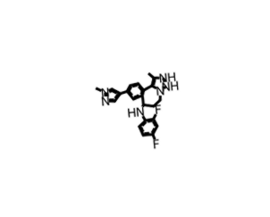 CC1=C2c3ccc(-c4cnn(C)c4)cc3C(Nc3ccc(F)cc3F)CCN2NN1